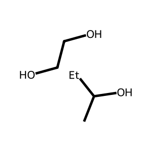 CCC(C)O.OCCO